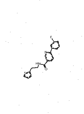 O=C(NCCc1cccs1)c1ccc(-c2cccc(F)c2)nc1